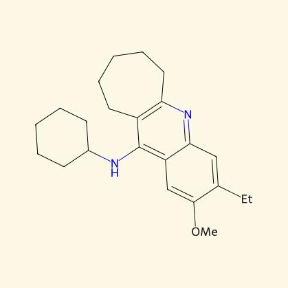 CCc1cc2nc3c(c(NC4CCCCC4)c2cc1OC)CCCCC3